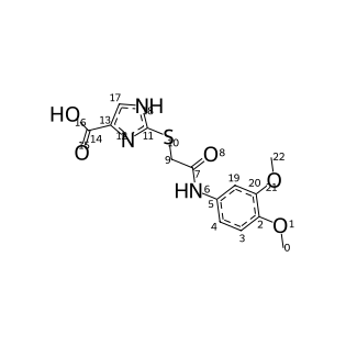 COc1ccc(NC(=O)CSc2nc(C(=O)O)c[nH]2)cc1OC